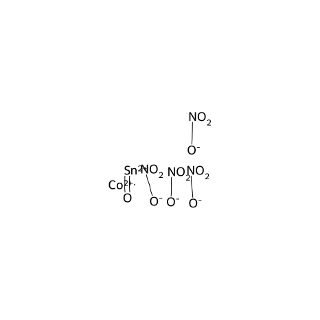 O=[N+]([O-])[O-].O=[N+]([O-])[O-].O=[N+]([O-])[O-].O=[N+]([O-])[O-].[Co+2].[O]=[Sn+2]